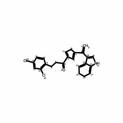 C=C(C1=CC(C(=O)CCc2ccc(Cl)cc2Cl)=CC1)c1c[nH]c2c1=CCCC=2